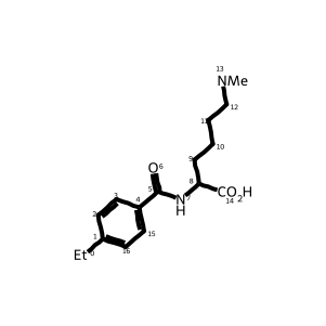 CCc1ccc(C(=O)NC(CCCCNC)C(=O)O)cc1